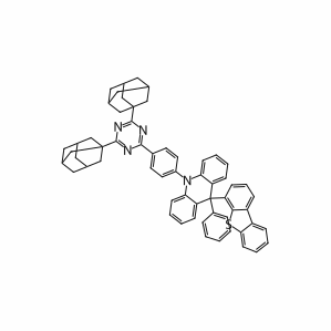 c1ccc(C2(c3cccc4c3sc3ccccc34)c3ccccc3N(c3ccc(-c4nc(C56CC7CC(CC(C7)C5)C6)nc(C56CC7CC(CC(C7)C5)C6)n4)cc3)c3ccccc32)cc1